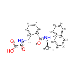 C[C@@H](NC(=O)c1ccccc1CNC(=O)C(=O)O)c1cccc2ccccc12